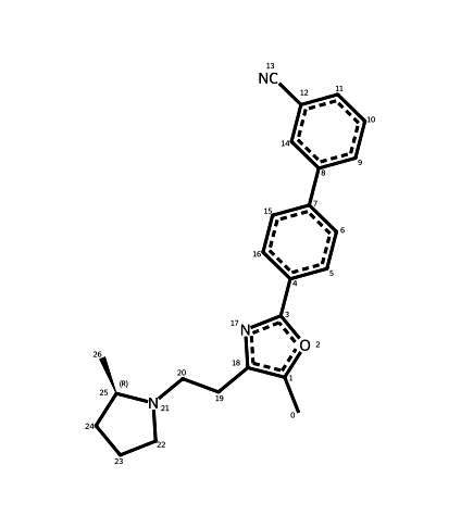 Cc1oc(-c2ccc(-c3cccc(C#N)c3)cc2)nc1CCN1CCC[C@H]1C